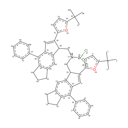 CC(C)(C)c1ccc(C2=Cc3c(cc4c(c3-c3ccccc3)CCC4)C2C[SiH](CC2C(c3ccc(C(C)(C)C)o3)=Cc3c2cc2c(c3-c3ccccc3)CCC2)[Zr]([Cl])[Cl])o1